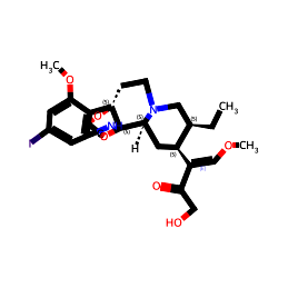 CC[C@@H]1CN2CC[C@@]34OCCO[C@@]3(Nc3cc(I)cc(OC)c34)[C@@H]2C[C@@H]1/C(=C\OC)C(=O)CO